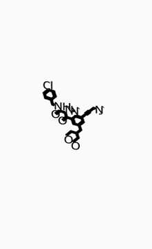 CN(C)CC#Cc1cc(CC2CCOC(=O)C2)cc2c(=O)c(C(=O)NCc3ccc(Cl)cc3)nn(C)c12